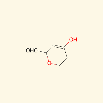 O=CC1C=C(O)CCO1